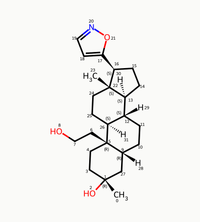 C[C@@]1(O)CC[C@@]2(CCO)[C@H](CC[C@H]3[C@@H]4CC[C@H](c5ccno5)[C@@]4(C)CC[C@@H]32)C1